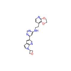 c1nc(NCCc2ccnc3c2OCCO3)cc(-c2cnc3c(ccn3C3COC3)c2)n1